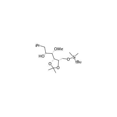 CO[C@H]([C@H]1OC(C)(C)O[C@H]1CO[Si](C)(C)C(C)(C)C)[C@H](O)CC(C)C